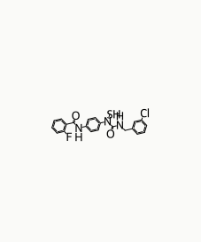 O=C(Nc1ccc(N(S)C(=O)NCc2cccc(Cl)c2)cc1)c1ccccc1F